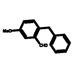 COc1ccc(Cc2ccccc2)c(C=O)c1